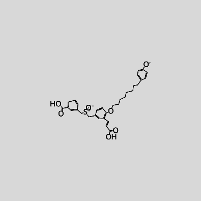 COc1ccc(CCCCCCCCOc2ccc(C[S+]([O-])Cc3cccc(C(=O)O)c3)cc2C=CC(=O)O)cc1